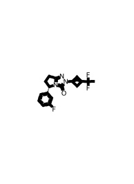 CC(F)(F)C12CC(n3nc4n(c3=O)[C@H](c3cccc(F)c3)CC4)(C1)C2